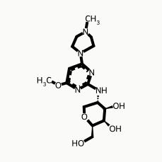 COc1cc(N2CCN(C)CC2)nc(N[C@H]2CO[C@H](CO)[C@H](O)[C@@H]2O)n1